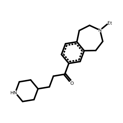 CCN1CCc2ccc(C(=O)CCC3CCNCC3)cc2CC1